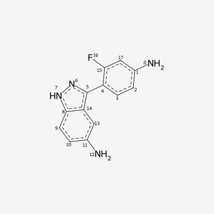 Nc1ccc(-c2n[nH]c3ccc(N)cc23)c(F)c1